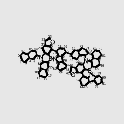 c1ccc2cc(N3c4cc5ccccc5cc4B4c5c3cc3ccoc3c5-c3ccc(-c5ccc6c(N7c8cc9ccoc9c9c8B(c8ccc%10ccccc%10c87)n7c8ccccc8c8cccc-9c87)cccc6c5)c5c6ccccc6n4c35)ccc2c1